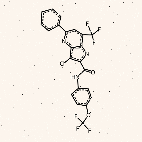 O=C(Nc1ccc(OC(F)(F)F)cc1)c1nn2c(C(F)(F)F)cc(-c3ccccc3)nc2c1Cl